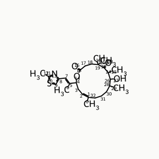 C/C1=C/CC(/C(C)=C/c2csc(C)n2)OC(=O)CCC(C)(C)C(=O)C(C)C(O)C(C)CCC1